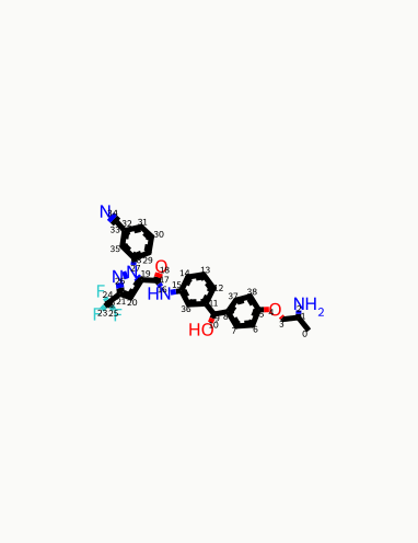 CC(N)COc1ccc(C(O)c2cccc(NC(=O)c3cc(C(F)(F)F)nn3-c3cccc(C#N)c3)c2)cc1